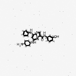 N[C@H]1CC[C@H](Nc2cc(Nc3ccccc3)c3ncc(C(=O)Nc4cccc(O)c4)n3n2)CC1